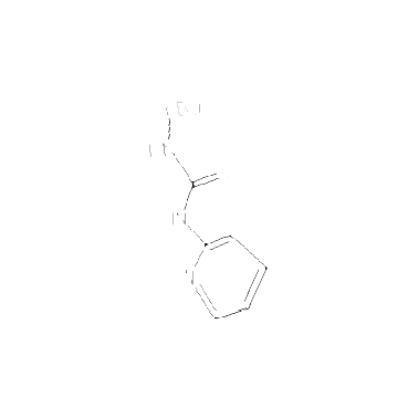 CCCCNC(=S)Nc1ccccn1